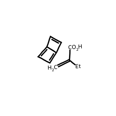 C=C(CC)C(=O)O.c1cc2ccc1-2